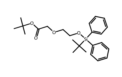 CC(C)(C)OC(=O)COCCO[Si](c1ccccc1)(c1ccccc1)C(C)(C)C